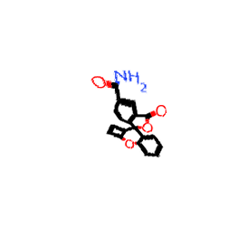 NC(=O)c1ccc2c(c1)C(=O)OC21c2ccccc2Oc2ccccc21